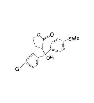 CSc1ccc(C(O)(c2ccc(Cl)cc2)C2CCOC2=O)cc1